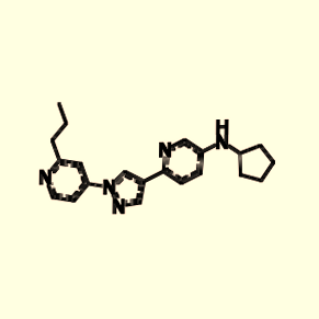 CCCc1cc(-n2cc(-c3ccc(NC4CCCC4)cn3)cn2)ccn1